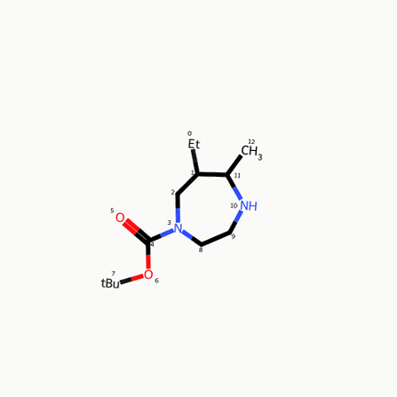 CCC1CN(C(=O)OC(C)(C)C)CCNC1C